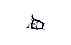 CSN1C2CCC(C)C1CC2